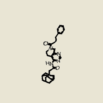 O=C(CC12CC3CC(CC(C3)C1)C2)Nc1ncnc2c1CCN(C(=O)CCc1ccccc1)C2